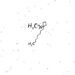 CCCCCCCCC1([N]CC)CCC1